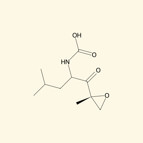 CC(C)CC(NC(=O)O)C(=O)[C@@]1(C)CO1